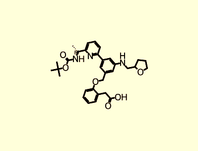 C[C@@H](NC(=O)OC(C)(C)C)c1cccc(-c2cc(COc3ccccc3CC(=O)O)cc(NCC3CCCO3)c2)n1